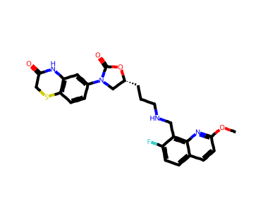 COc1ccc2ccc(F)c(CNCCC[C@@H]3CN(c4ccc5c(c4)NC(=O)CS5)C(=O)O3)c2n1